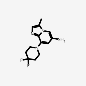 Cc1cnc2c(N3CCC(F)(F)CC3)cc(N)cn12